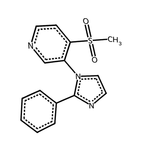 CS(=O)(=O)c1ccncc1-n1ccnc1-c1ccccc1